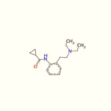 CCN(CC)CCc1ccccc1NC(=O)C1CC1